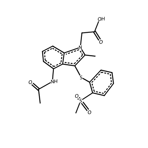 CC(=O)Nc1cccc2c1c(Sc1ccccc1S(C)(=O)=O)c(C)n2CC(=O)O